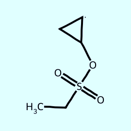 CCS(=O)(=O)OC1[CH]C1